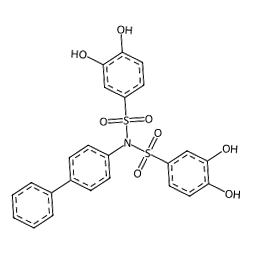 O=S(=O)(c1ccc(O)c(O)c1)N(c1ccc(-c2ccccc2)cc1)S(=O)(=O)c1ccc(O)c(O)c1